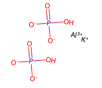 O=P([O-])([O-])O.O=P([O-])([O-])O.[Al+3].[K+]